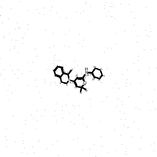 CC1c2ccccc2CCN1C1=CC(C)(C)OC(NC2CCCCC2)=C1